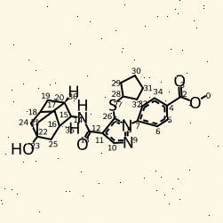 COC(=O)c1ccc(-n2ncc(C(=O)NC3[C@@H]4CC5C[C@H]3CC(O)(C5)C4)c2SC2CCCC2)cc1